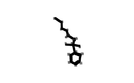 CCCCOOC(C)(C)c1ccccc1